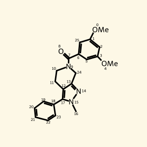 COc1cc(OC)cc(C(=O)N2CCc3c(nn(C)c3-c3ccccc3)C2)c1